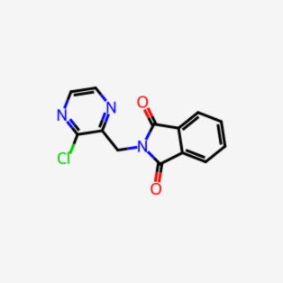 O=C1c2ccccc2C(=O)N1Cc1nccnc1Cl